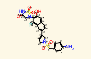 Nc1ccc(CS(=O)(=O)N2CC=C(c3ccc4cc(O)c(N5CC(=O)NS5(=O)=O)c(F)c4c3)C2)cc1